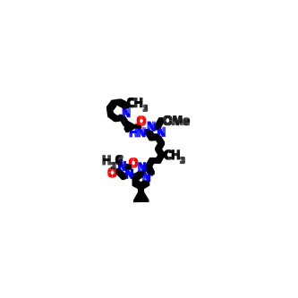 COCc1nc(CCC(C)CCc2cn3cc(C4CC4)cc(N4CC(=O)N(C)C4=O)c3n2)cc(NC(=O)[C@H]2C[C@@H]2/C2=N/C(C)=C\C=C/CC2)n1